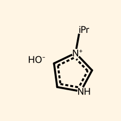 CC(C)[n+]1cc[nH]c1.[OH-]